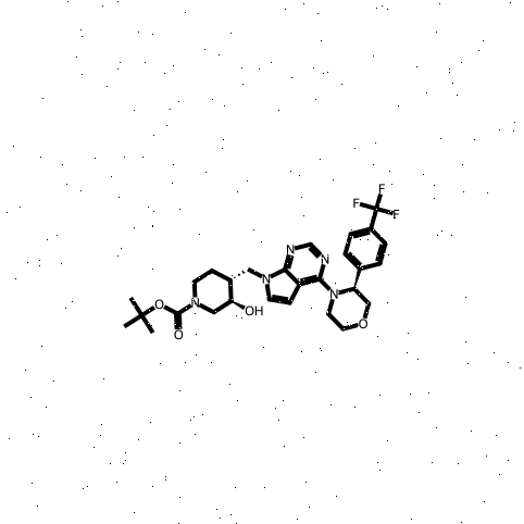 CC(C)(C)OC(=O)N1CC[C@H](Cn2ccc3c(N4CCOC[C@@H]4c4ccc(C(F)(F)F)cc4)ncnc32)[C@@H](O)C1